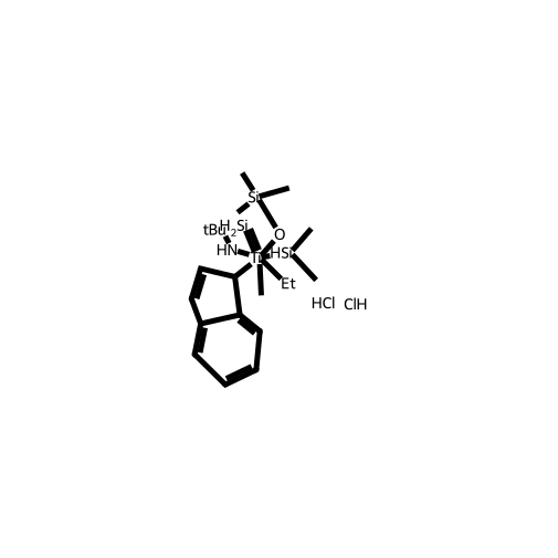 C[CH2][Ti]([CH3])(=[SiH2])([NH]C(C)(C)C)([O][Si](C)(C)C)([CH]1C=Cc2ccccc21)[SiH](C)C.Cl.Cl